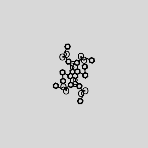 O=C(OCc1ccccc1)c1ccc2c(c1)-c1cc(C(=O)OCc3ccccc3)cc3c1B2c1cc2c(-c4ccccc4-c4ccccc4)cc4c5c(cc6c(-c7ccccc7-c7ccccc7)cc-3c1c6c25)B1c2ccc(C(=O)OCc3ccccc3)cc2-c2cc(C(=O)OCc3ccccc3)cc-4c21